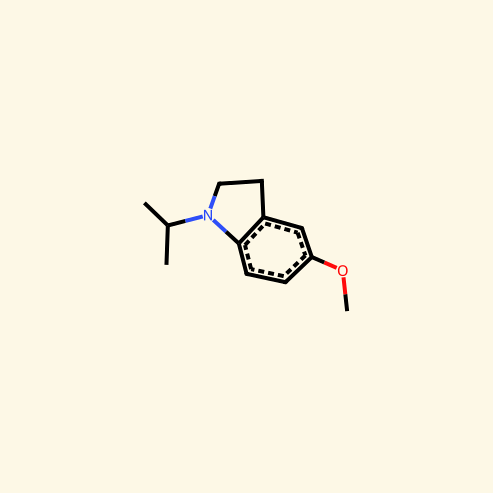 COc1ccc2c(c1)CCN2C(C)C